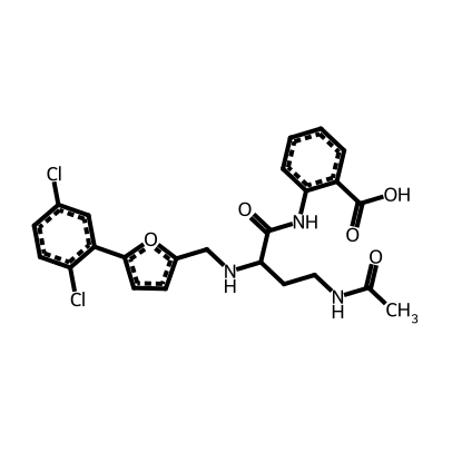 CC(=O)NCCC(NCc1ccc(-c2cc(Cl)ccc2Cl)o1)C(=O)Nc1ccccc1C(=O)O